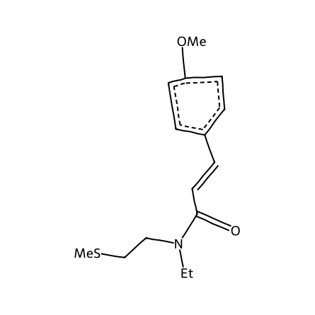 CCN(CCSC)C(=O)/C=C/c1ccc(OC)cc1